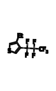 CCc1cscc1C(F)(F)C(F)(F)C(F)(F)F